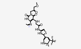 C/C=N\c1[nH]c(=O)n(CC(=O)COC)c(=O)c1NCC(=O)NC1=CSC(C2=CN[C@H](C)C(C(F)(F)F)=C2)N1